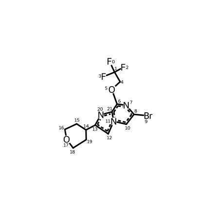 FC(F)(F)COc1nc(Br)cn2cc(C3CCOCC3)nc12